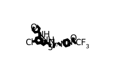 O=C(CC(F)(F)F)N1CCN(CC[C@@H]2CSC(c3cc4cc(Cl)cc(NC5CCOCC5)c4[nH]3)=N2)CC1